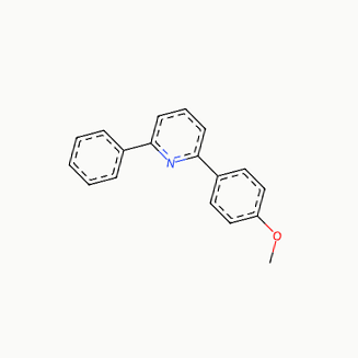 COc1ccc(-c2cccc(-c3ccccc3)n2)cc1